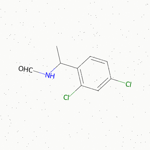 CC(NC=O)c1ccc(Cl)cc1Cl